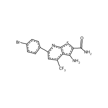 NC(=O)c1sc2nc(-c3ccc(Br)cc3)cc(C(F)(F)F)c2c1N